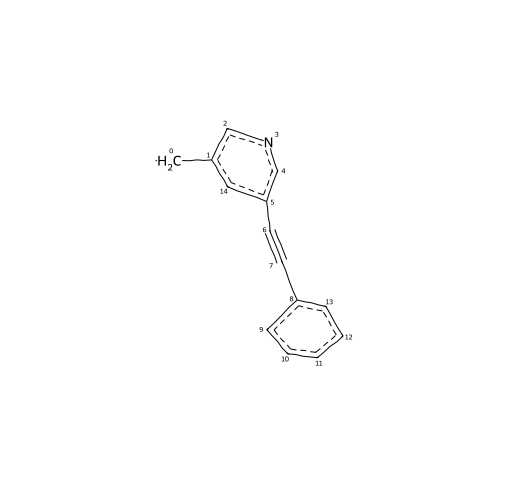 [CH2]c1cncc(C#Cc2ccccc2)c1